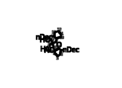 CCCCCCCCCCc1ccccc1OC(c1ccccc1CCCCCCCCCC)C(CO)(CO)CO